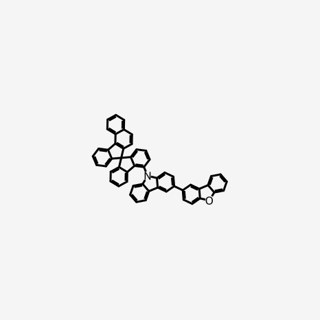 c1ccc2c(c1)-c1c(-n3c4ccccc4c4cc(-c5ccc6oc7ccccc7c6c5)ccc43)cccc1C21c2ccccc2-c2c1ccc1ccccc21